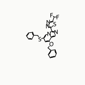 FC(F)c1nnc(-c2ncc3c(OCc4ccccc4)cc(SCc4ccccc4)cn23)s1